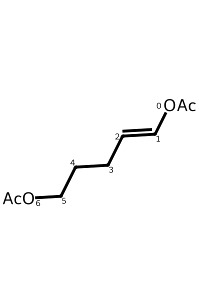 CC(=O)O/C=C/CCCOC(C)=O